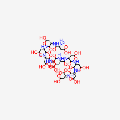 N[C@@H](CC(=O)O)C(=O)N[C@@H](CC(=O)O)C(=O)N[C@@H](CC(=O)O)C(=O)N[C@@H](CC(=O)O)C(=O)N[C@@H](CC(=O)O)C(=O)N[C@@H](CC(=O)O)C(=O)N[C@@H](CC(=O)O)C(=O)N[C@@H](CC(=O)O)C(=O)N[C@@H](CC(=O)O)C(=O)N[C@@H](CC(=O)O)C(=O)O